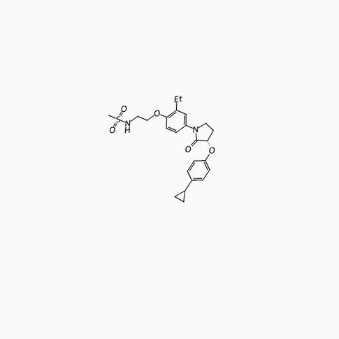 CCc1cc(N2CC[C@H](Oc3ccc(C4CC4)cc3)C2=O)ccc1OCCNS(C)(=O)=O